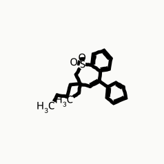 CCCCC1(CC)C=C(c2ccccc2)c2ccccc2S(=O)(=O)C1